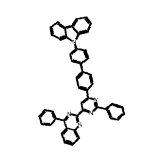 c1ccc(-c2nc(-c3ccc(-c4ccc(-n5c6ccccc6c6ccccc65)cc4)cc3)cc(-c3nc(-c4ccccc4)c4ccccc4n3)n2)cc1